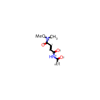 CCC(=O)NC(=O)/C=C/C(=O)N(C)OC